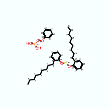 CCCCCCCCCc1ccccc1OSOc1ccccc1CCCCCCCCC.OP(O)OOc1ccccc1